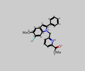 COC(=O)c1cccc(Cn2c(-c3ccccc3)cc3cc(OC)c(F)cc32)n1